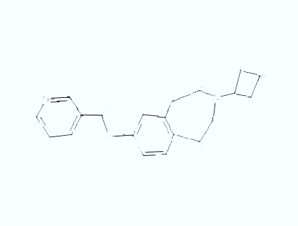 c1cncc(COc2ccc3c(c2)CCN(C2CCC2)CC3)c1